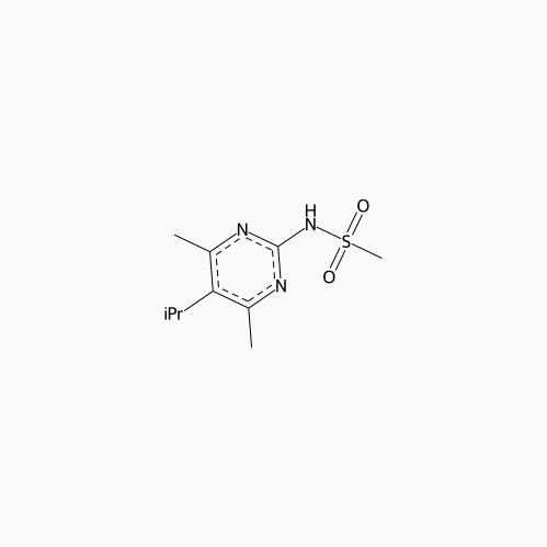 Cc1nc(NS(C)(=O)=O)nc(C)c1C(C)C